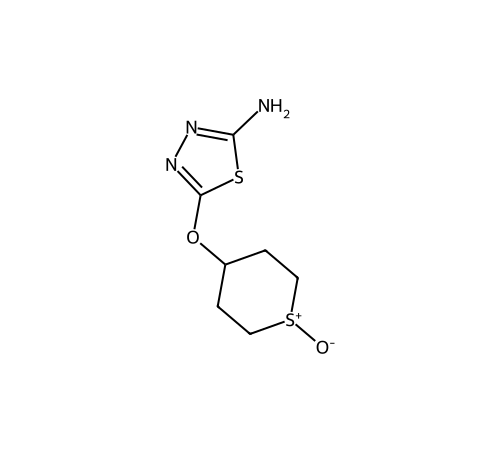 Nc1nnc(OC2CC[S+]([O-])CC2)s1